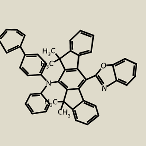 CC1(C)c2ccccc2-c2c(-c3nc4ccccc4o3)c3c(c(N(c4ccccc4)c4ccc(-c5ccccc5)cc4)c21)C(C)(C)c1ccccc1-3